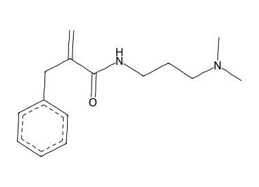 C=C(Cc1ccccc1)C(=O)NCCCN(C)C